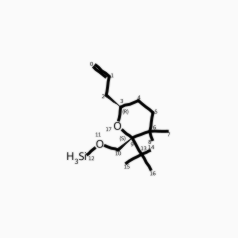 C=CC[C@H]1CCC(C)(C)[C@](CO[SiH3])(C(C)(C)C)O1